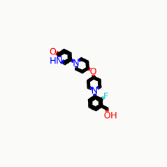 O=c1ccc(N2CCC(OC3CCN(c4cccc(CO)c4F)CC3)CC2)c[nH]1